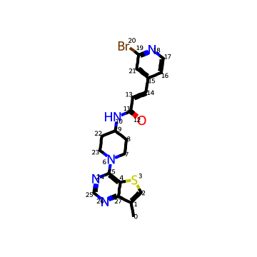 Cc1csc2c(N3CCC(NC(=O)C=Cc4ccnc(Br)c4)CC3)ncnc12